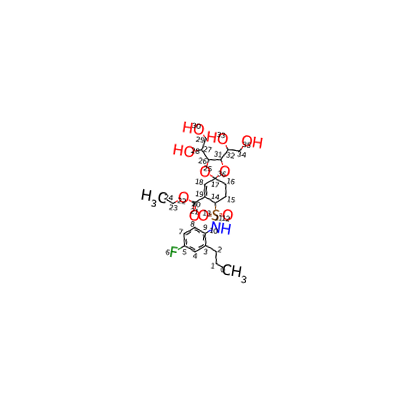 CCCc1cc(F)ccc1NS(=O)(=O)C1CCC2(C=C1C(=O)OCC)OC(C(O)CO)C(C(O)CO)O2